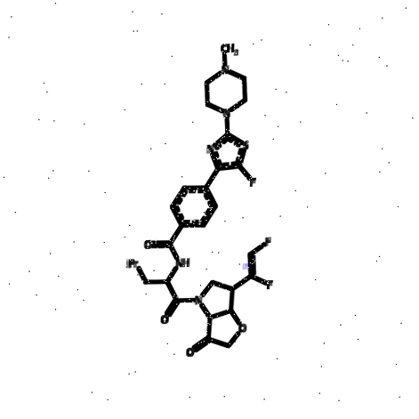 CC(C)CC(NC(=O)c1ccc(-c2nc(N3CCN(C)CC3)sc2F)cc1)C(=O)N1CC(/C(F)=C/F)C2OCC(=O)C21